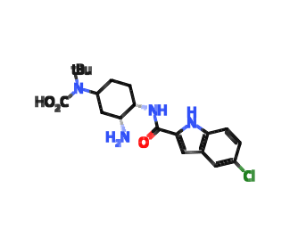 CC(C)(C)N(C(=O)O)C1CC[C@H](NC(=O)c2cc3cc(Cl)ccc3[nH]2)[C@H](N)C1